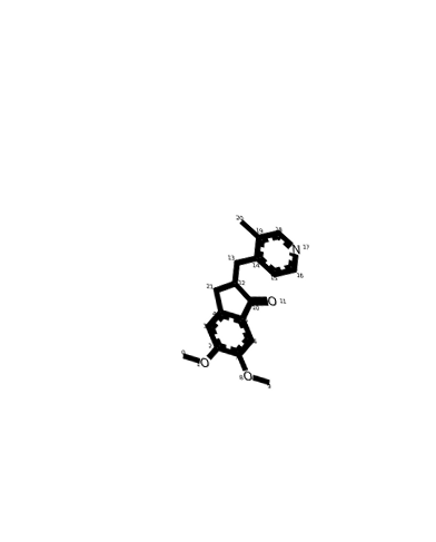 COc1cc2c(cc1OC)C(=O)C(Cc1ccncc1C)C2